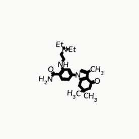 CCN(CC)CCNc1cc(-n2cc(C)c3c2CC(C)(C)CC3=O)ccc1C(N)=O